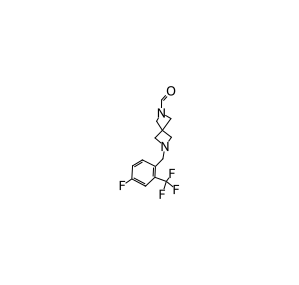 O=CN1CC2(C1)CN(Cc1ccc(F)cc1C(F)(F)F)C2